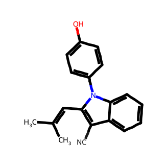 CC(C)=Cc1c(C#N)c2ccccc2n1-c1ccc(O)cc1